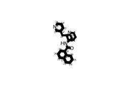 O=C(NC1C2CCN(CC2)C1Cc1cccnc1)c1cccc2ccccc12